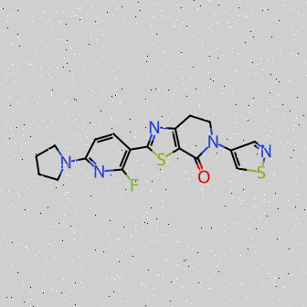 O=C1c2sc(-c3ccc(N4CCCC4)nc3F)nc2CCN1c1cnsc1